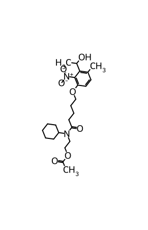 CC(=O)OCCN(C(=O)CCCCOc1ccc(C)c(C(C)O)c1[N+](=O)[O-])C1CCCCC1